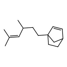 CC(C)=CC(C)CCC12C=CC(CC1)C2